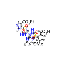 CCOC(=O)c1cnn(C)c1S(=O)(=O)NC(=N)N(NS(=O)(=O)c1ccccc1C(=O)O)c1nc(C)cc(OC)n1